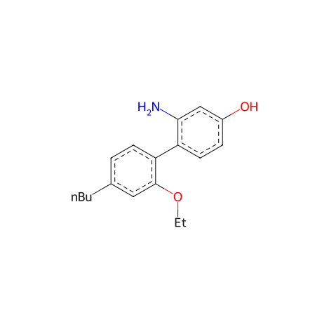 CCCCc1ccc(-c2ccc(O)cc2N)c(OCC)c1